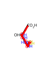 O=CC(CCC(=O)NCCCCCC(=O)NCCCCC1C(=O)NCN1CCC(NS)C(=O)S)NC(=O)CCCCCCCCCCCCCCC(=O)O